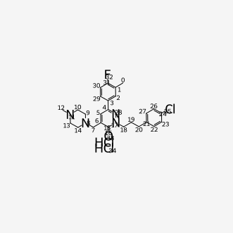 Cc1cc(-c2cc(CN3CCN(C)CC3)c(=O)n(CCCc3ccc(Cl)cc3)n2)ccc1F.Cl.Cl